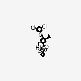 O=C(NS(=O)(=O)N1CCC1)c1cc(C2CC2)c(COc2cc(Cl)cc(Cl)c2)cc1F